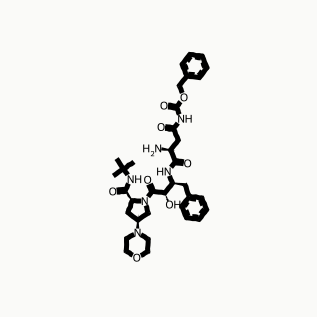 CC(C)(C)NC(=O)[C@@H]1C[C@H](N2CCOCC2)CN1C(=O)[C@@H](O)[C@H](Cc1ccccc1)NC(=O)[C@@H](N)CC(=O)NC(=O)OCc1ccccc1